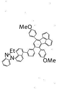 CCc1nc2ccccc2n1-c1cccc2c(-c3cccc(-c4cc(-c5ccc(OC)cc5)c5c(c4-c4ccc(OC)cc4)-c4cccc6cccc-5c46)c3)cccc12